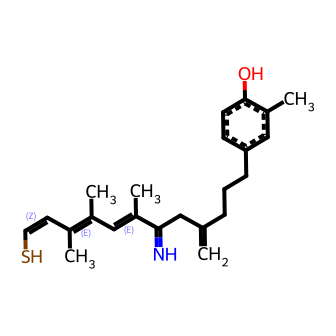 C=C(CCCc1ccc(O)c(C)c1)CC(=N)/C(C)=C/C(C)=C(C)/C=C\S